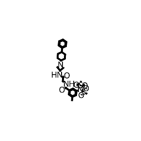 Cc1cc(C(=O)NCC(=O)NC2CN(C3CCC(c4ccccc4)CC3)C2)cc(N(S(C)(=O)=O)S(C)(=O)=O)c1